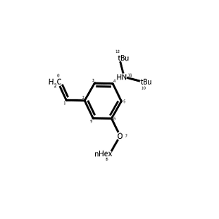 C=Cc1cccc(OCCCCCC)c1.CC(C)(C)NC(C)(C)C